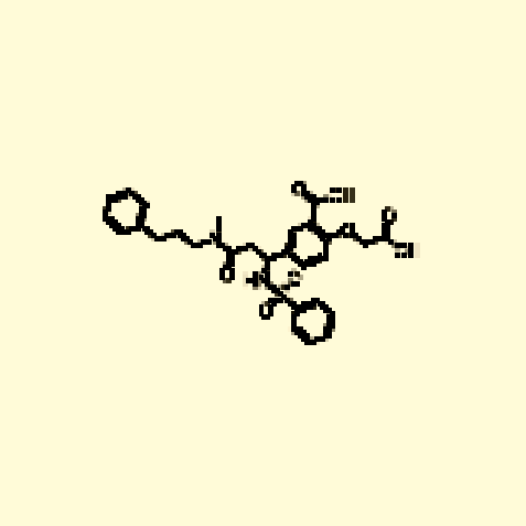 O=C(O)COc1ccc(C(CC(=O)NCCCc2ccccc2)NS(=O)(=O)c2ccccc2)cc1C(=O)O